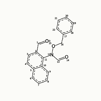 O=[C]c1ccc2ccccc2c1N(C=O)OCc1ccccc1